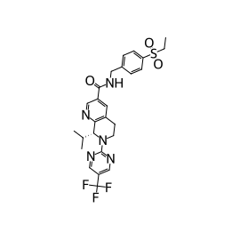 CCS(=O)(=O)c1ccc(CNC(=O)c2cnc3c(c2)CCN(c2ncc(C(F)(F)F)cn2)[C@@H]3C(C)C)cc1